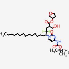 CCCCCCCCCCCCCCC(n1ccc(NC(=O)OC(C)(C)C)nc1=O)C(F)(F)CC(CO)C(=O)OC1CCOC1